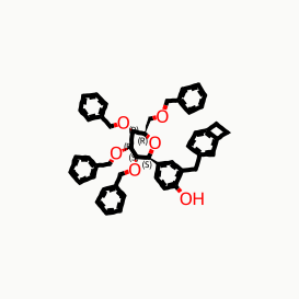 Oc1ccc([C@@H]2O[C@H](COCc3ccccc3)[C@@H](OCc3ccccc3)[C@H](OCc3ccccc3)[C@H]2OCc2ccccc2)cc1Cc1ccc2c(c1)CC2